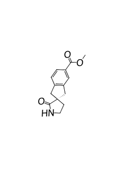 COC(=O)c1ccc2c(c1)C[C@@]1(CCNC1=O)C2